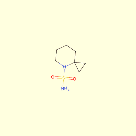 NS(=O)(=O)N1CCCCC12CC2